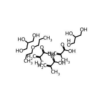 C=C(C)C(=O)O.C=C(C)C(=O)O.C=C(C)C(=O)O.CCCOCCC.OCC(O)CO.OCC(O)CO